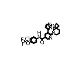 O=C(Nc1ccc(OC(F)(F)Cl)cc1)c1cnc(N2CCCC3(CCN3)C2)c(-c2ccn[nH]2)c1